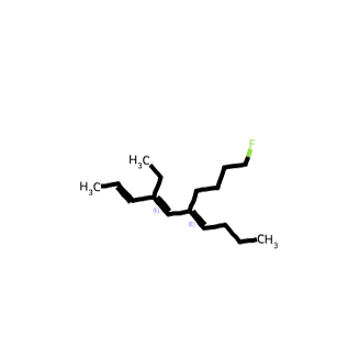 CC=C/C(=C/C(=C/CCC)CCCCF)CC